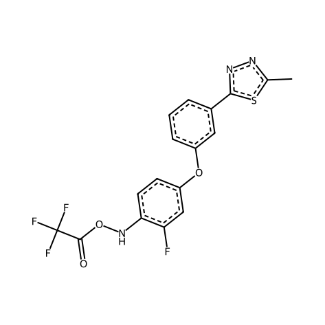 Cc1nnc(-c2cccc(Oc3ccc(NOC(=O)C(F)(F)F)c(F)c3)c2)s1